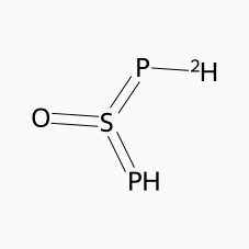 [2H]P=S(=O)=P